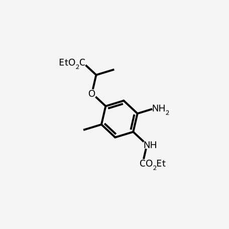 CCOC(=O)Nc1cc(C)c(OC(C)C(=O)OCC)cc1N